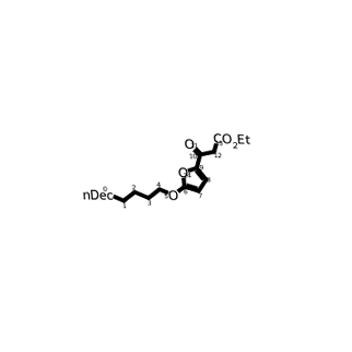 CCCCCCCCCCCCCCOc1ccc(C(=O)CC(=O)OCC)o1